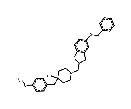 COc1ccc(CC2(O)CCN(CC3Cc4cc(OCc5ccccc5)ccc4O3)CC2)cc1